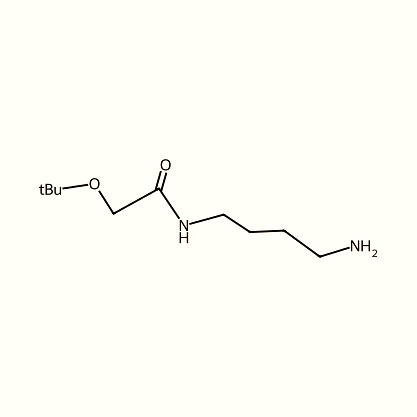 CC(C)(C)OCC(=O)NCCCCN